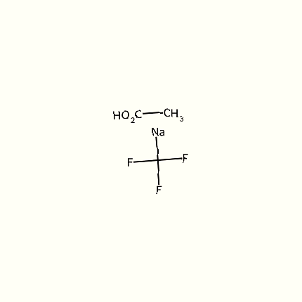 CC(=O)O.F[C](F)(F)[Na]